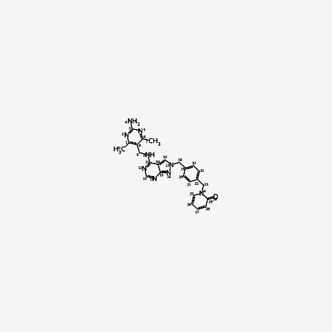 Cc1nc(N)nc(C)c1CNc1ncnc2nn(Cc3ccc(Cn4ccccc4=O)cc3)cc12